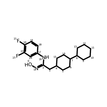 O/N=C(/CC1CCC(C2CCCCC2)CC1)Nc1ccc(F)c(F)c1